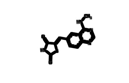 CNc1ncnc2ccc(/C=C3\SC(=O)NC3=O)cc12